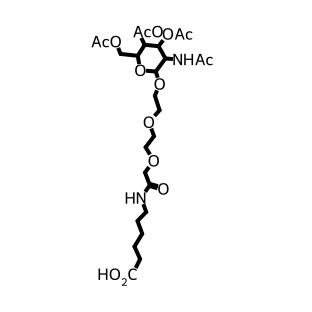 CC(=O)NC1C(OCCOCCOCC(=O)NCCCCCC(=O)O)OC(COC(C)=O)C(OC(C)=O)C1OC(C)=O